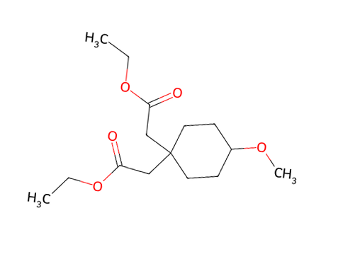 CCOC(=O)CC1(CC(=O)OCC)CCC(OC)CC1